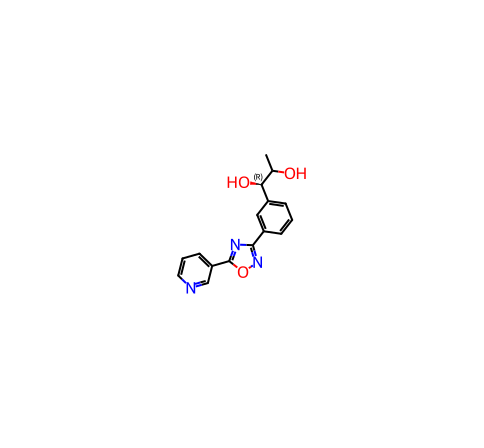 CC(O)[C@H](O)c1cccc(-c2noc(-c3cccnc3)n2)c1